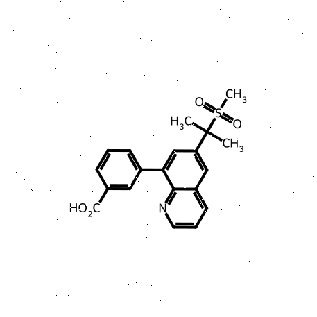 CC(C)(c1cc(-c2cccc(C(=O)O)c2)c2ncccc2c1)S(C)(=O)=O